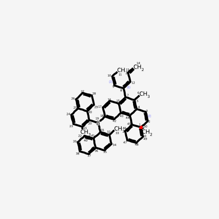 C=C/C=C\c1c(C)c(C(/C=C\C)=C/C=C)c2ccc(B(c3c(C)ccc4ccccc34)c3c(C)ccc4ccccc34)cc2c1-c1ccccc1